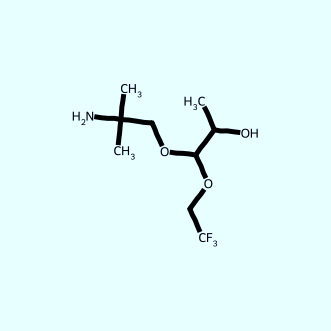 CC(O)C(OCC(C)(C)N)OCC(F)(F)F